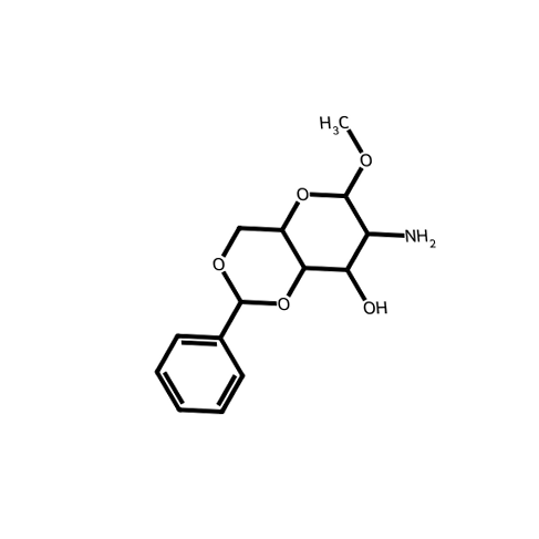 COC1OC2COC(c3ccccc3)OC2C(O)C1N